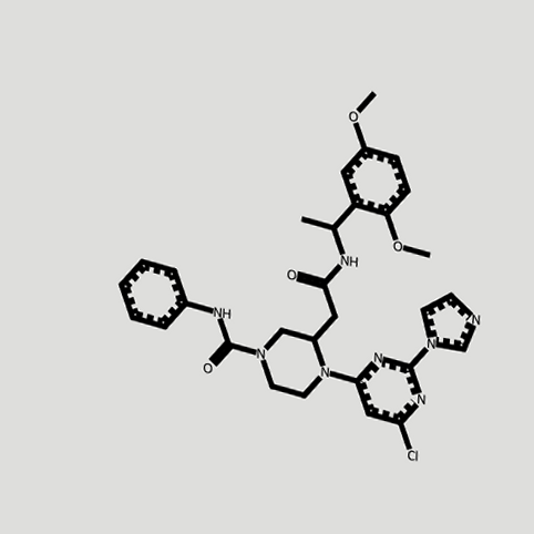 COc1ccc(OC)c(C(C)NC(=O)CC2CN(C(=O)Nc3ccccc3)CCN2c2cc(Cl)nc(-n3ccnc3)n2)c1